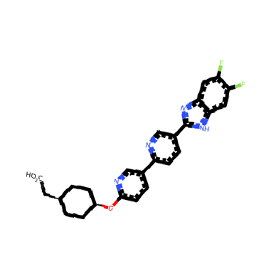 O=C(O)C[C@H]1CC[C@@H](Oc2ccc(-c3ccc(-c4nc5cc(F)c(F)cc5[nH]4)cn3)cn2)CC1